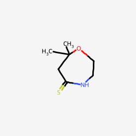 CC1(C)CC(=S)NCCO1